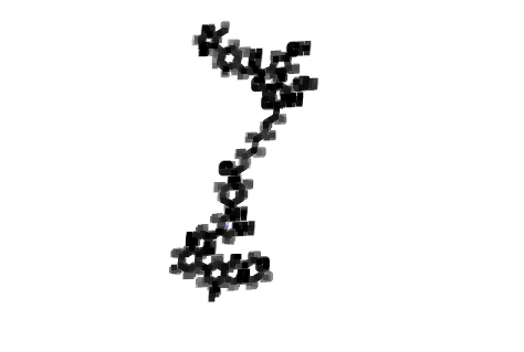 Cc1ncsc1-c1ccc(CNC(=O)C2CC(O)CN2C(=O)[C@@H](NC(=O)CCCCCCCC(=O)N2CCC(N/C=C(\C=N)c3cnc4cccc(-c5cc(F)c(CN6CCOCC6)c(F)c5)c4n3)CC2)C(C)(C)C)cc1